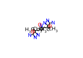 CC1(C)OC(=C(C#N)C#N)C(C#N)=C1/C=C/c1ccc(/C=C/C2=C(C#N)C(=C(C#N)C#N)OC2(C)C)c(N=O)c1